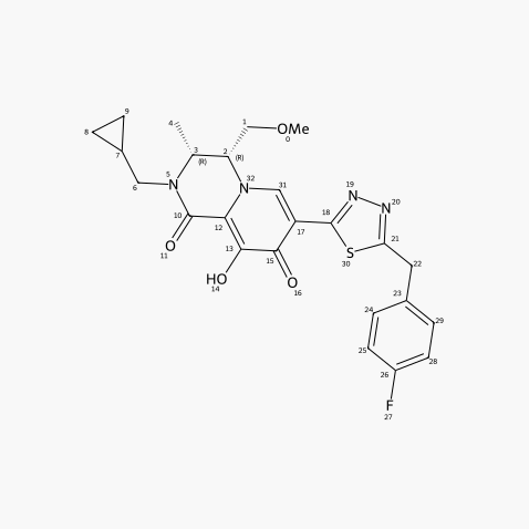 COC[C@H]1[C@@H](C)N(CC2CC2)C(=O)c2c(O)c(=O)c(-c3nnc(Cc4ccc(F)cc4)s3)cn21